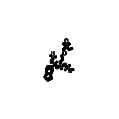 CCC1(COCCC[Si](C)(O[Si](C)(C)OC)O[Si](C)(O[SiH](C)C)C2CC3CC2C2C=CCC32)COC1